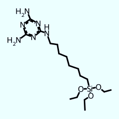 CCO[Si](CCCCCCCCNc1nc(N)nc(N)n1)(OCC)OCC